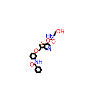 O=C(NCCO)Oc1cncc2c(COc3cccc(NC(=O)c4ccccc4)c3)csc12